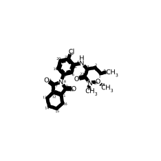 CCCC(Nc1cc(N2C(=O)C3=C(CCCC3)C2=O)ccc1Cl)C(=O)N(C)OC